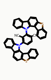 N#Cc1ccc(-n2c3ccccc3c3ccc4sc5ccccc5c4c32)c(C#N)c1-n1c2ccccc2c2ccc3sc4ccccc4c3c21